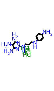 Cl.Cl.Cl.Cl.Nc1ccc(NCCCNc2nc(N)c(N)c(N)n2)cc1